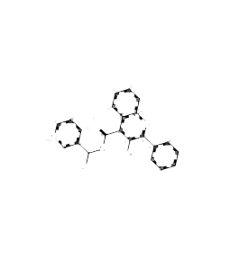 CCC(NC(=O)c1c(O)c(-c2ccccc2)nc2ccccc12)c1cccnc1